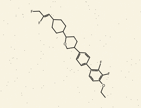 CCOc1ccc(-c2ccc(C3CCC(C4CCC(/C=C(\F)CF)CC4)OC3)cc2)c(F)c1F